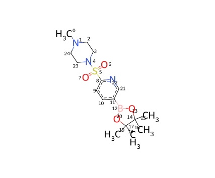 CN1CCN(S(=O)(=O)c2ccc(B3OC(C)(C)C(C)(C)O3)cn2)CC1